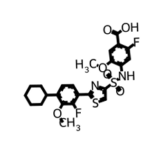 COc1cc(C(=O)O)c(F)cc1NS(=O)(=O)c1csc(-c2ccc(C3CCCCC3)c(OC)c2F)n1